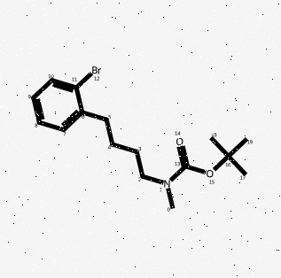 CN(CCCCc1ccccc1Br)C(=O)OC(C)(C)C